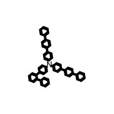 c1ccc(-c2ccc(-c3ccc(N(c4ccc(-c5ccc(-c6ccccc6)cc5)cc4)c4ccc(-c5ccccc5-c5ccccc5)cc4)cc3)cc2)cc1